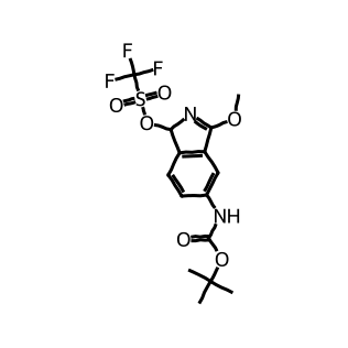 COC1=NC(OS(=O)(=O)C(F)(F)F)c2ccc(NC(=O)OC(C)(C)C)cc21